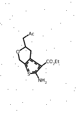 CCOC(=O)c1c(N)sc2c1CC(CC(C)=O)OC2